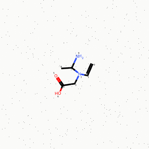 C=CN(CC(=O)O)C(C)N